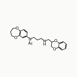 CC(=O)N(CCCNCC1COc2ccccc2O1)c1ccc2c(c1)OCCCO2